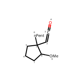 CCCCCC1(C=C=O)CCCC1OC